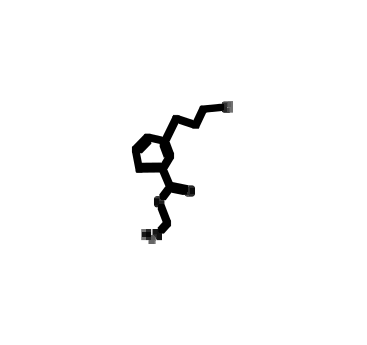 NCOC(=O)c1cccc(CCCCl)c1